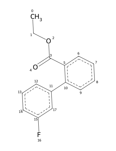 CCOC(=O)c1ccccc1-c1cc[c]c(F)c1